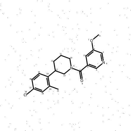 COc1cncc(C(=O)N2CCCC(c3ccc(Cl)cc3C)C2)c1